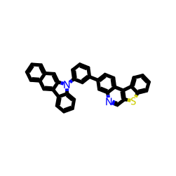 c1cc(-c2ccc3c(c2)ncc2sc4ccccc4c23)cc(-n2c3ccccc3c3cc4ccccc4cc32)c1